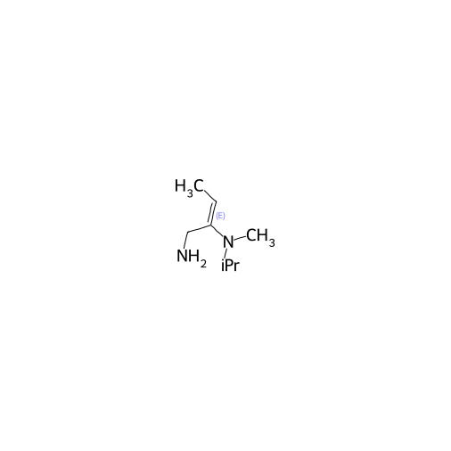 C/C=C(\CN)N(C)C(C)C